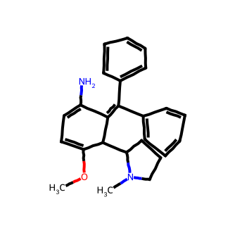 COC1=CC=C(N)C(=C(c2ccccc2)c2ccccc2)C1C1CCCN1C